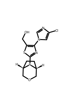 OCc1sc(N2[C@@H]3CC[C@H]2COC3)nc1-n1cnc(Cl)c1